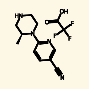 C[C@H]1CNCCN1c1ccc(C#N)cn1.O=C(O)C(F)(F)F